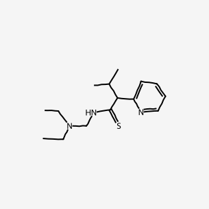 CCN(CC)CNC(=S)C(c1ccccn1)C(C)C